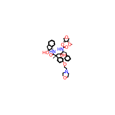 CO[C@@H]1COC[C@H]1OC(=O)N[C@@H](Cc1ccccc1)[C@@H](O)C[C@@](C)(C(=O)N[C@H]1c2ccccc2C[C@H]1O)c1ccc(OCCN2CCOCC2)cc1